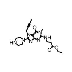 CC#CCn1c(N2CCNCC2)nc2nc(NCCC(=O)OCC)n(C)c(=O)c21